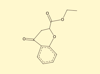 CCOC(=O)C1CC(=O)c2ccccc2O1